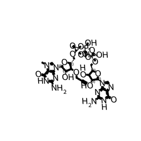 C#CCOC1[C@@H](COP(=O)(O)OP(=O)(O)OP(=O)(O)OC[C@H]2O[C@@H](n3cnc4c(=O)[nH]c(N)nc43)[C@@H](O)C2O)O[C@@H](n2c[n+](C)c3c(=O)[nH]c(N)nc32)[C@H]1O